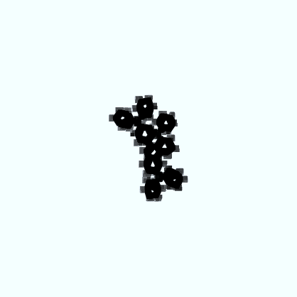 c1ccc(N2c3cc(B(C4CC5CCC4C5)C4CC5CCC4C5)ccc3-c3cc4ccc(B(C5CC6CCC5C6)C5CC6CCC5C6)cc4c4cccc2c34)cc1